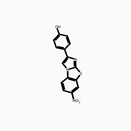 O=[N+]([O-])c1ccc2c(c1)sc1nc(-c3ccc(O)cc3)cn12